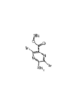 CC(C)(C)OC(=O)c1nc(Br)c(N)nc1Br